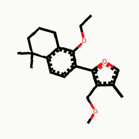 CCOc1c(-c2occ(C)c2COC)ccc2c1CCCC2(C)C